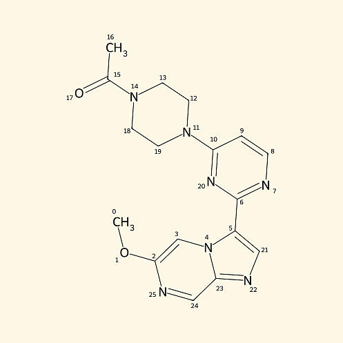 COc1cn2c(-c3nccc(N4CCN(C(C)=O)CC4)n3)cnc2cn1